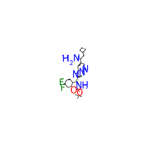 CC(C)(C)OC(=O)N[C@H](c1cn2ncc(C(N)CC3CCC3)cc2n1)C1CCC(F)(F)CC1